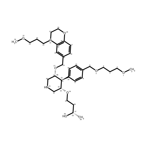 COCCCOCc1ccc([C@@H]2[C@@H](OCc3ccc4c(c3)N(CCCOC)CCO4)CNC[C@H]2OCC[C@H](C)O)cc1